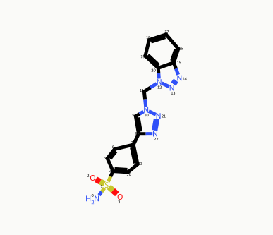 NS(=O)(=O)c1ccc(-c2cn(Cn3nnc4ccccc43)nn2)cc1